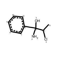 CC(Cl)C(N)(O)c1ccccc1